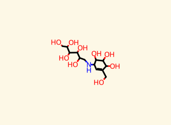 OCC1=CC(NCC(O)C(O)C(O)C(O)CO)C(O)C(O)C1O